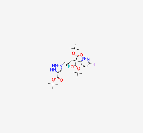 CC(C)(C)OC(=O)C1=CN(C[C@H](F)CC(C(=O)OC(C)(C)C)(C(=O)OC(C)(C)C)c2ccc(I)nn2)NN1